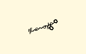 Cc1c(COCCCCOCCCC(F)(F)F)nc2ccccc2c1OCc1ccccc1